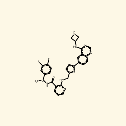 C[C@H](NC(=O)c1cccnc1NCc1ccc(-c2ccc3ncnc(NC4CNC4)c3c2)s1)c1ccc(F)c(F)c1